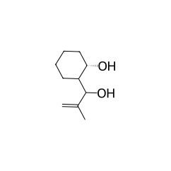 C=C(C)C(O)C1CCCC[C@@H]1O